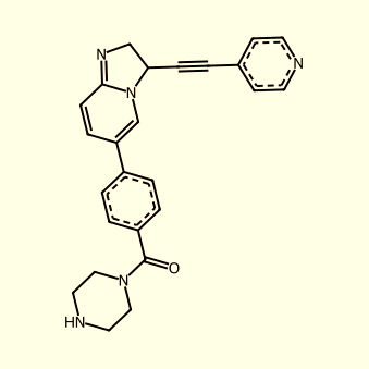 O=C(c1ccc(C2=CN3C(=NCC3C#Cc3ccncc3)C=C2)cc1)N1CCNCC1